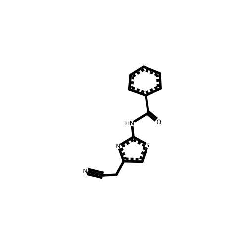 N#CCc1csc(NC(=O)c2ccccc2)n1